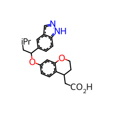 CC(C)CC(Oc1ccc2c(c1)OCCC2CC(=O)O)c1ccc2[nH]ncc2c1